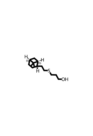 CC1(C)[C@H]2CC[C@@H](CCSCCCO)[C@@H]1C2